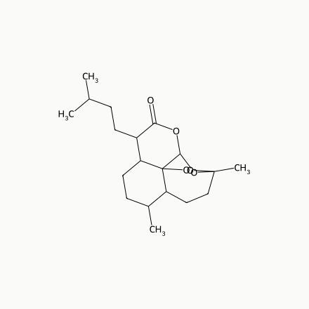 CC(C)CCC1C(=O)OC2OC3(C)CCC4C(C)CCC1C24OO3